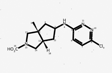 C[C@@]12CC(Nc3ccc(Cl)nn3)C[C@@H]1CN(C(=O)O)C2